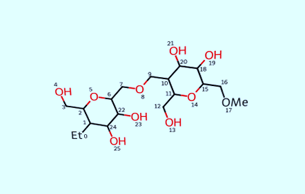 CCC1C(CO)OC(COCC2C(CO)OC(COC)C(O)C2O)C(O)C1O